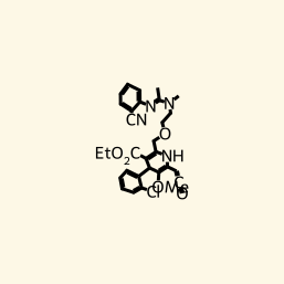 CCOC(=O)C1=C(COCCN(C)C(C)=Nc2ccccc2C#N)NC(C=C=O)=C(OC)C1c1ccccc1Cl